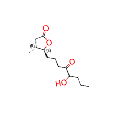 CCCC(O)C(=O)CCC[C@@H]1OC(=O)C[C@H]1C